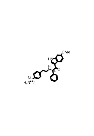 COc1ccc2c(C(=O)[C@H](NCCc3ccc(S(N)(=O)=O)cc3)c3ccccc3)c[nH]c2c1